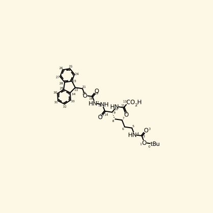 CC(C)(C)OC(=O)NCCCC[C@@H](NC(=O)C(=O)O)C(=O)NNC(=O)OCC1c2ccccc2-c2ccccc21